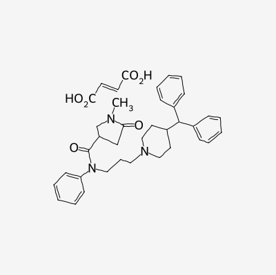 CN1CC(C(=O)N(CCCN2CCC(C(c3ccccc3)c3ccccc3)CC2)c2ccccc2)CC1=O.O=C(O)/C=C/C(=O)O